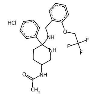 CC(=O)NC1CCC(NCc2ccccc2OCC(F)(F)F)(c2ccccc2)NC1.Cl